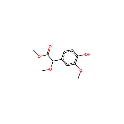 COC(=O)C(OC)c1ccc(O)c(OC)c1